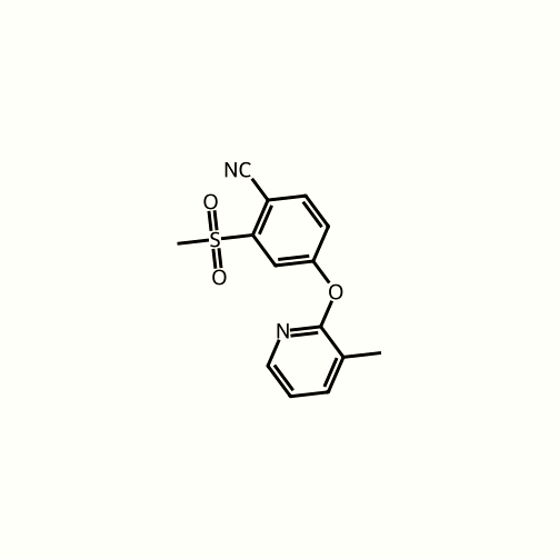 Cc1cccnc1Oc1ccc(C#N)c(S(C)(=O)=O)c1